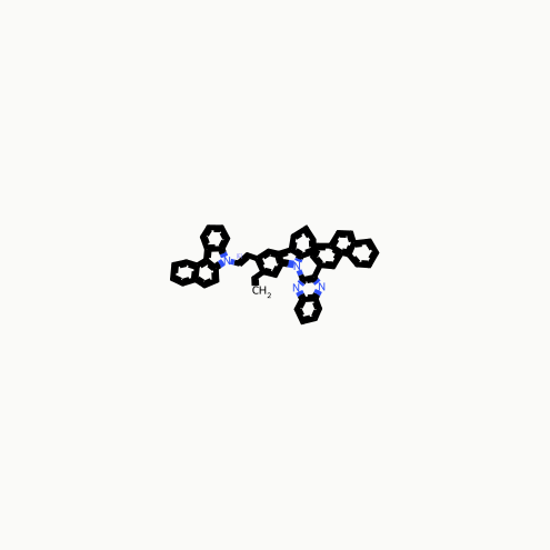 C=Cc1cc2c(cc1/C=C/n1c3ccccc3c3c4ccccc4ccc31)c1ccccc1n2-c1nc2ccccc2nc1-c1ccc2ccc3ccccc3c2c1